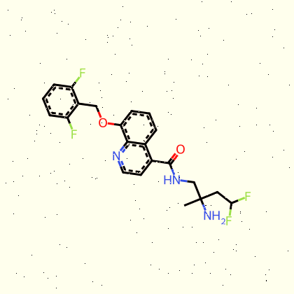 CC(N)(CNC(=O)c1ccnc2c(OCc3c(F)cccc3F)cccc12)CC(F)F